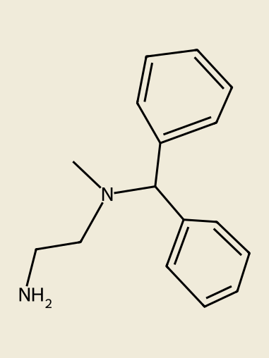 CN(CCN)C(c1ccccc1)c1ccccc1